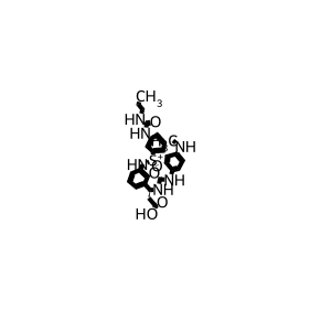 CCCNC(=O)Nc1cccc([S+]([O-])Nc2cccc([C@@H](CC(=O)O)NC(=O)Nc3ccc(NC)cc3)c2)c1